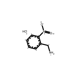 Cl.NCc1ccccc1[N+](=O)[O-]